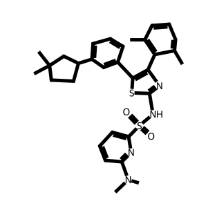 Cc1cccc(C)c1-c1nc(NS(=O)(=O)c2cccc(N(C)C)n2)sc1-c1cccc(C2CCC(C)(C)C2)c1